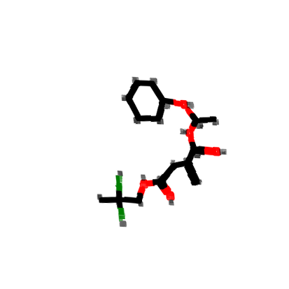 C=C(CC(=O)OCC(C)(F)F)C(=O)OC(C)OC1CCCCC1